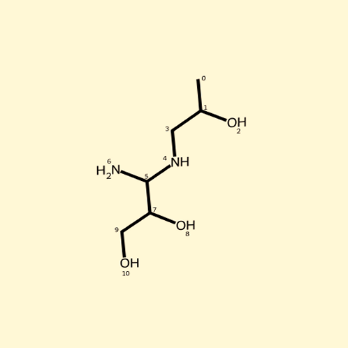 CC(O)CNC(N)C(O)CO